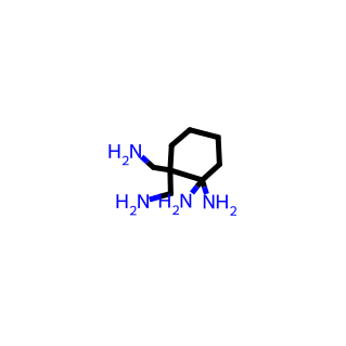 NCC1(CN)CCCCC1(N)N